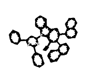 C#Cc1c(-c2cccc3ccccc23)c(-c2cccc3ccccc23)cc2c3ccccc3n(-c3cc(-c4ccccc4)nc(-c4ccccc4)n3)c12